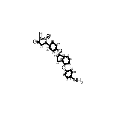 Nc1ccc(Oc2cccc3c2CC[C@H]3Oc2ccc(C3CC(=O)N[S+]3[O-])cc2)cc1